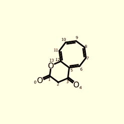 O=C1CC(=O)C2=C/C=C\C=C/C=C\2O1